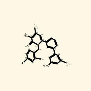 CSc1cc(-c2cccc(-c3cc(C(F)(F)F)c(C#N)c(=O)n3Cc3ccc(F)cc3F)c2)cc(C(F)(F)F)c1